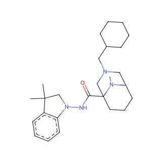 CN1C2C[CH]CC1(C(=O)NN1CC(C)(C)c3ccccc31)CN(CC1CCCCC1)C2